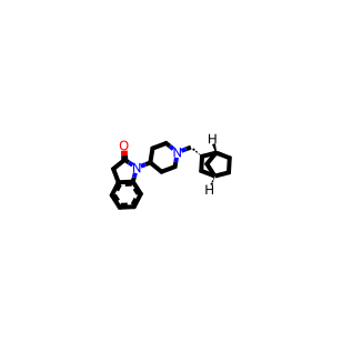 O=C1Cc2ccccc2N1C1CCN(C[C@H]2C[C@@H]3CC[C@@H]2C3)CC1